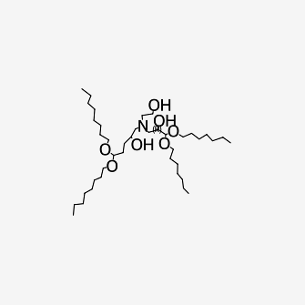 CCCCCCCCOC(CCC(O)CN(CCO)C[C@@H](O)C(OCCCCCCC)OCCCCCCC)OCCCCCCCC